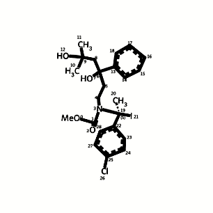 COC(=O)N(CCC(O)(CC(C)(C)O)c1ccccc1)[C@@](C)(I)c1ccc(Cl)cc1